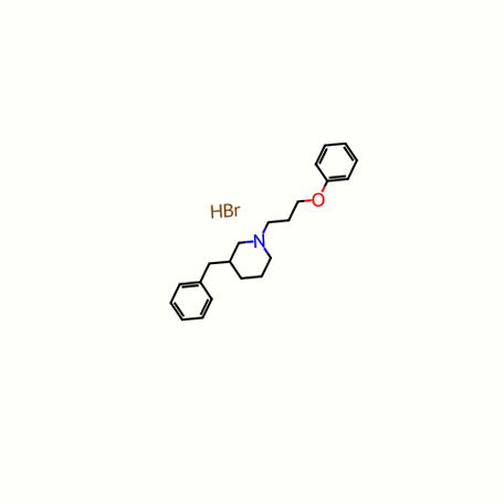 Br.c1ccc(CC2CCCN(CCCOc3ccccc3)C2)cc1